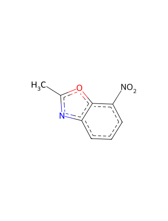 Cc1nc2cccc([N+](=O)[O-])c2o1